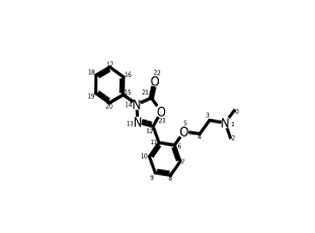 CN(C)CCOc1ccccc1-c1nn(-c2ccccc2)c(=O)o1